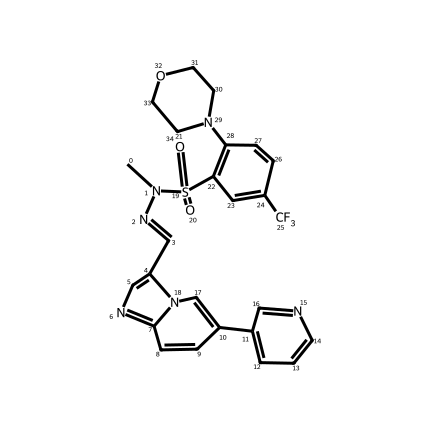 CN(N=Cc1cnc2ccc(-c3cccnc3)cn12)S(=O)(=O)c1cc(C(F)(F)F)ccc1N1CCOCC1